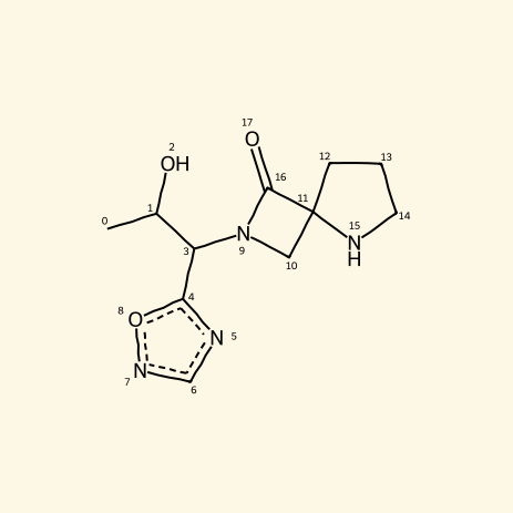 CC(O)C(c1ncno1)N1CC2(CCCN2)C1=O